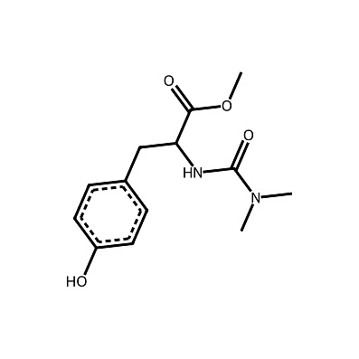 COC(=O)C(Cc1ccc(O)cc1)NC(=O)N(C)C